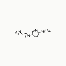 CC(=O)Nc1ccc(NCCN)cn1